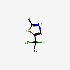 CCC(F)(F)c1cnc(C)s1